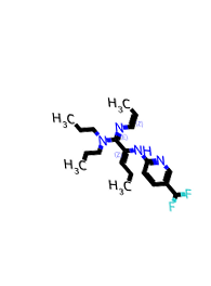 C\C=C/N=C(\C(=C\CC)Nc1ccc(C(F)F)cn1)N(CCC)CCC